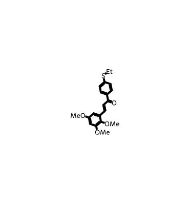 CCSc1ccc(C(=O)/C=C/c2cc(OC)cc(OC)c2OC)cc1